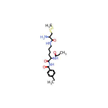 CCC(=O)NC(CCCCNC(=O)C(N)CSSC)C(=O)NC(=O)c1ccc(CC)cc1